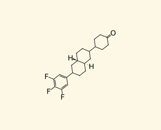 O=C1CCC(C2CC[C@H]3CC(c4cc(F)c(F)c(F)c4)CC[C@@H]3C2)CC1